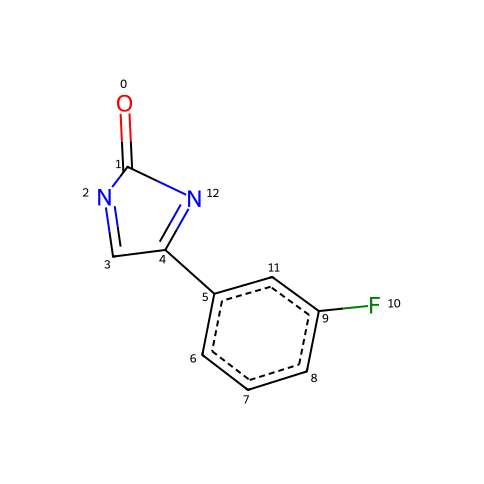 O=C1N=CC(c2cccc(F)c2)=N1